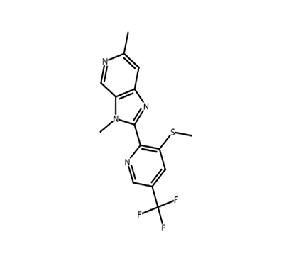 CSc1cc(C(F)(F)F)cnc1-c1nc2cc(C)ncc2n1C